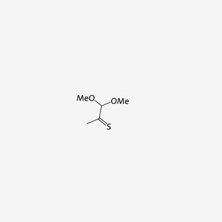 COC(OC)C(C)=S